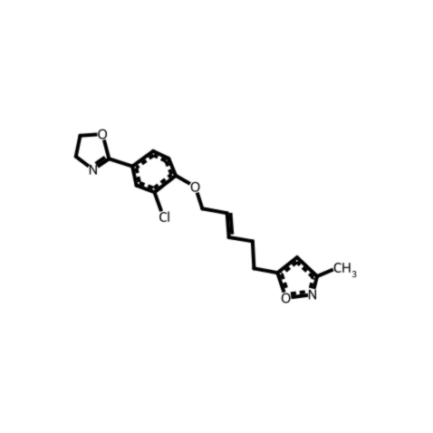 Cc1cc(CCC=CCOc2ccc(C3=NCCO3)cc2Cl)on1